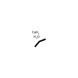 C[CH]C.O.[CaH2]